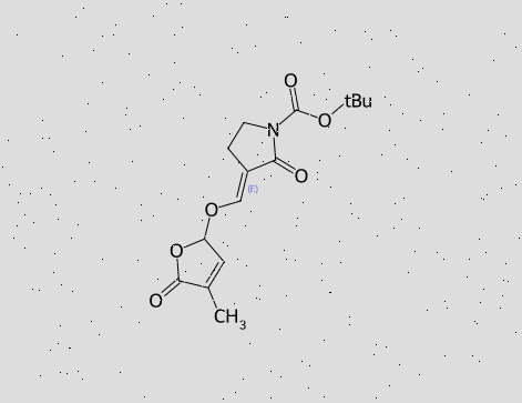 CC1=CC(O/C=C2\CCN(C(=O)OC(C)(C)C)C2=O)OC1=O